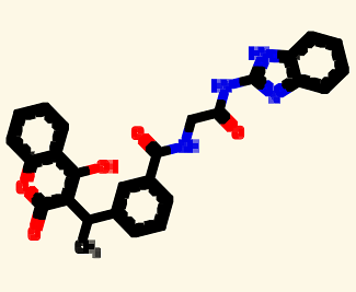 CC(c1cccc(C(=O)NCC(=O)Nc2nc3ccccc3[nH]2)c1)c1c(O)c2ccccc2oc1=O